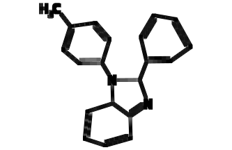 Cc1ccc(N2C3C=CC=CC3=NC2c2ccccc2)cc1